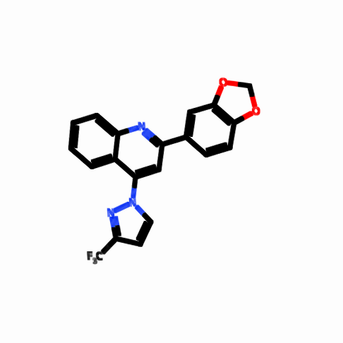 FC(F)(F)c1ccn(-c2cc(-c3ccc4c(c3)OCO4)nc3ccccc23)n1